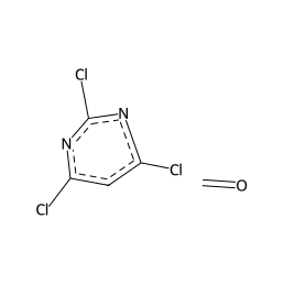 C=O.Clc1cc(Cl)nc(Cl)n1